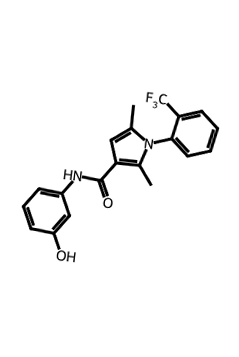 Cc1cc(C(=O)Nc2cccc(O)c2)c(C)n1-c1ccccc1C(F)(F)F